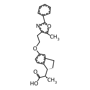 Cc1oc(-c2ccccc2)nc1CCOc1ccc2c(c1)CC[C@@H]2[C@@H](C)C(=O)O